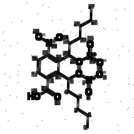 CCCCCC(O[N+](=O)[O-])c1c(C(=O)O)ccc([N+](=O)[O-])c1C(CCCCC)O[N+](=O)[O-]